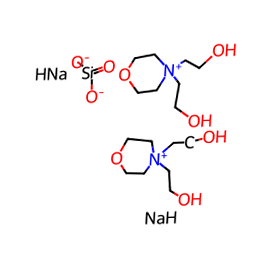 O=[Si]([O-])[O-].OCC[N+]1(CCO)CCOCC1.OCC[N+]1(CCO)CCOCC1.[NaH].[NaH]